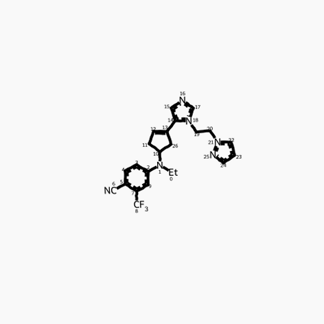 CCN(c1ccc(C#N)c(C(F)(F)F)c1)C1CC=C(c2cncn2CCn2cccn2)C1